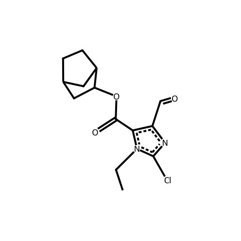 CCn1c(Cl)nc(C=O)c1C(=O)OC1CC2CCC1C2